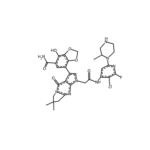 CC1CNCCN1c1cc(NC(=O)Cn2cc(-c3cc(C(N)=O)c(O)c4c3OCO4)c3c(=O)n4c(nc32)CC(C)(C)C4)c(Cl)c(F)n1